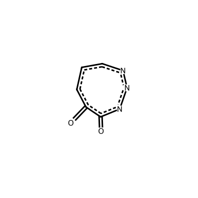 O=c1cccnnnc1=O